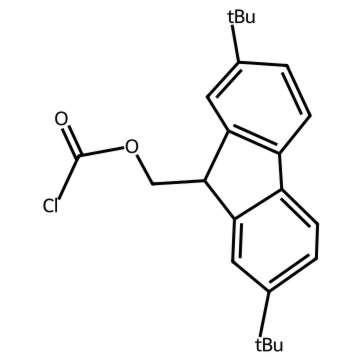 CC(C)(C)c1ccc2c(c1)C(COC(=O)Cl)c1cc(C(C)(C)C)ccc1-2